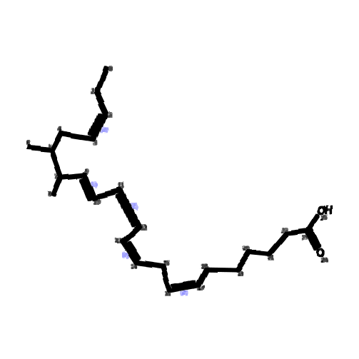 CC/C=C\CC(C)C(C)/C=C/C=C\C=C/C/C=C\CCCCCC(=O)O